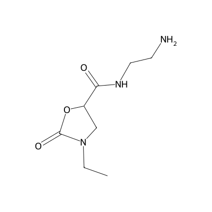 CCN1CC(C(=O)NCCN)OC1=O